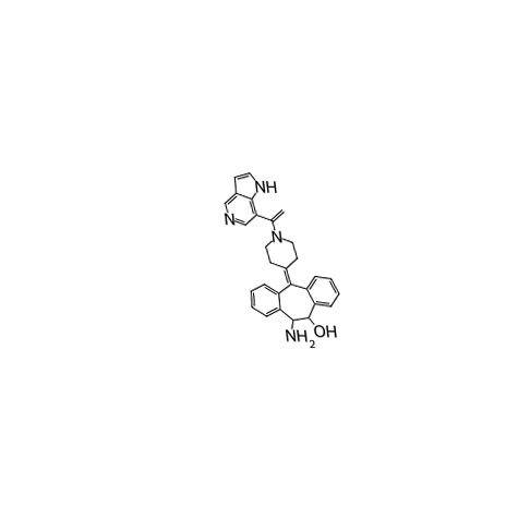 C=C(c1cncc2cc[nH]c12)N1CCC(=C2c3ccccc3C(N)C(O)c3ccccc32)CC1